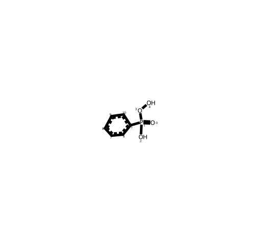 O=P(O)(OO)c1ccccc1